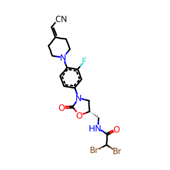 N#CC=C1CCN(c2ccc(N3C[C@H](CNC(=O)C(Br)Br)OC3=O)cc2F)CC1